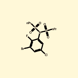 CCCS(=O)(=O)N(c1cc(Cl)cc(Br)c1F)S(=O)(=O)CCC